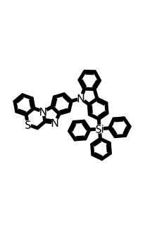 c1ccc([Si](c2ccccc2)(c2ccccc2)c2ccc3c4ccccc4n(-c4ccc5c(c4)nc4n5-c5ccccc5SC4)c3c2)cc1